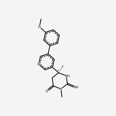 COc1cccc(-c2cncc([C@]3(C)CC(=O)N(C)C(=N)N3)c2)c1